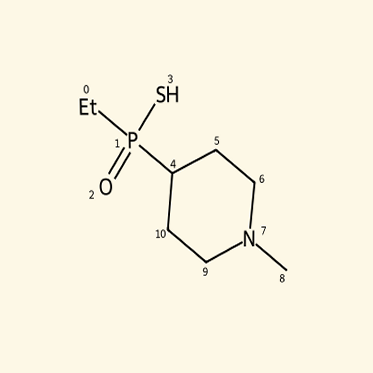 CCP(=O)(S)C1CCN(C)CC1